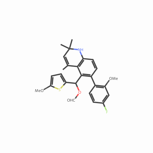 COc1ccc(C(OC=O)c2c(-c3ccc(F)cc3OC)ccc3c2C(C)=CC(C)(C)N3)s1